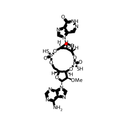 CO[C@@H]1[C@@H]2OP(=O)(S)O[C@H]3O[C@@H](n4cnc5c(=O)[nH]ncc54)[C@H](OP(=O)(S)OC[C@H]2O[C@H]1n1cnc2c(N)ncnc21)[C@@H]3O